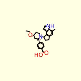 CCO[C@@H]1CCN(C2CCc3cc(C)c4[nH]ccc4c32)[C@@H](c2ccc(C(=O)O)cc2)C1